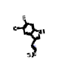 O=[N+]([O-])/C=C/c1c[nH]c2cc(F)c(Cl)cc12